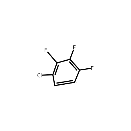 Fc1[c]cc(Cl)c(F)c1F